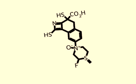 C=S1CC[N+]([O-])(c2ccc3c(c2)C2=C(S)N=C2C(S)(C(=O)O)C3)CC1F